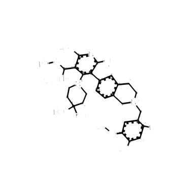 CCOc1cc(CN2CCc3cc(-c4c(C)nc(C)c(C(OC(C)(C)C)C(=O)O)c4N4CCC(C)(C)CC4)ccc3C2)c(F)cc1F